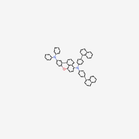 c1ccc(N(c2ccccc2)c2ccc3c(c2)-c2cccc4c(N(c5ccc(-c6cccc7ccccc67)cc5)c5ccc(-c6cccc7ccccc67)cc5)ccc(c24)O3)cc1